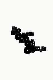 CCCCc1nn(-c2cc(NC(=O)CC)ccc2Br)c(=O)n1Cc1ccc(-c2ccccc2S(=O)(=O)NC(=O)OCC)cc1F